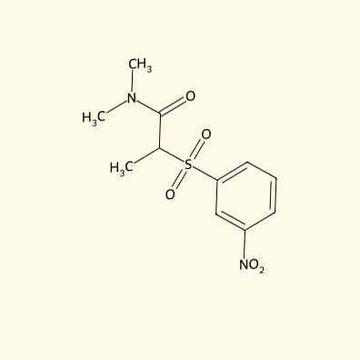 CC(C(=O)N(C)C)S(=O)(=O)c1cccc([N+](=O)[O-])c1